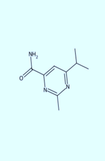 Cc1nc(C(N)=O)cc(C(C)C)n1